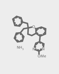 COc1ncc(-c2cccc3c2CCC(Cc2ccccc2)(Cc2ccccc2)O3)cn1.N